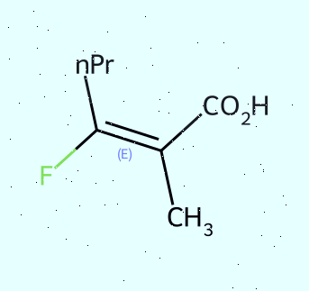 CCC/C(F)=C(/C)C(=O)O